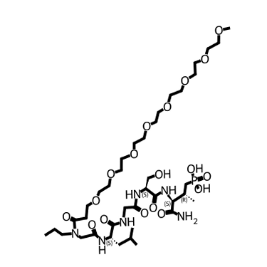 CCCN(CC(=O)N[C@@H](CC(C)C)C(=O)NCC(=O)N[C@@H](CO)C(=O)N[C@H](C(N)=O)[C@@H](C)CP(=O)(O)O)C(=O)CCOCCOCCOCCOCCOCCOCCOCCOC